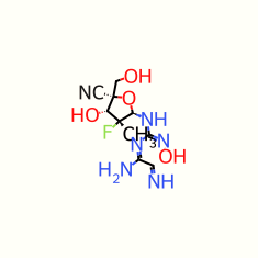 C[C@]1(F)[C@H](NC(=N/O)/N=C(/N)C=N)O[C@](C#N)(CO)[C@H]1O